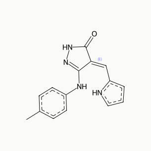 Cc1ccc(NC2=NNC(=O)/C2=C/c2ccc[nH]2)cc1